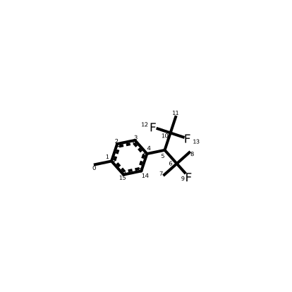 Cc1ccc(C(C(C)(C)F)C(C)(F)F)cc1